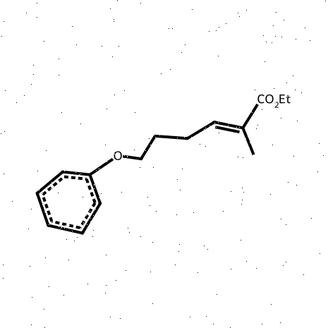 CCOC(=O)C(C)=CCCCOc1ccccc1